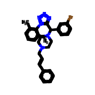 Cc1cccc(C)c1-n1nnnc1C(c1cccc(Br)c1)N1CCN(C/C=C/c2ccccc2)CC1